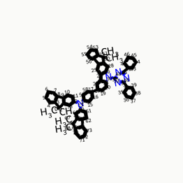 CC1(C)c2ccccc2-c2ccc(N(c3ccc(-c4ccc5c(c4)c4cc6c(cc4n5-c4nc(-c5ccccc5)nc(-c5ccccc5)n4)C(C)(C)c4ccccc4-6)cc3)c3ccc4c(c3)C(C)(C)c3ccccc3-4)cc21